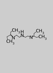 CCC(CC)=NCCNCCN=C(CC)CC